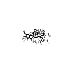 CCC(C)(C)CC[C@@](C)(CCC(C)(C)[C@]1(C)CCC2C(C)(C)C(=O)C(C#N)=C[C@]2(C)[C@H]1C[C@@H](C)O)C(=O)OC